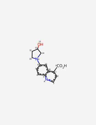 O=C(O)c1ccnc2ccc(N3CCC(O)C3)cc12